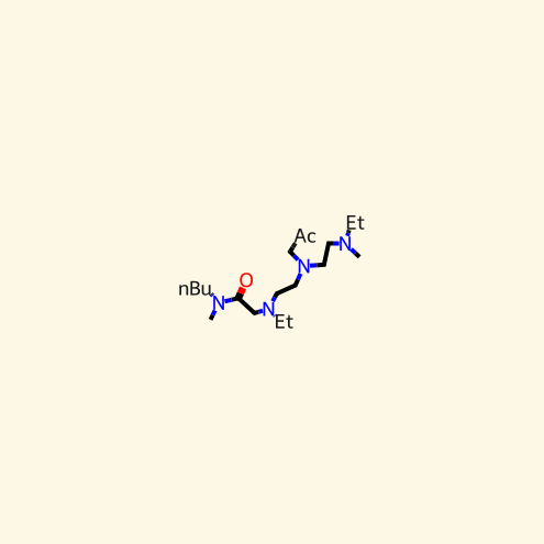 CCCCN(C)C(=O)CN(CC)CCN(CCN(C)CC)CC(C)=O